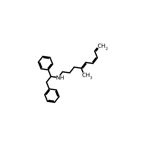 C=C/C=C\C=C(/C)CCCNC(Cc1ccccc1)c1ccccc1